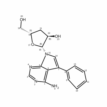 Nc1ncnc2c1c(-c1ccccc1)cn2[C@@H]1O[C@H](CO)C[C@H]1O